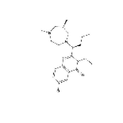 CCC[C@@H](c1nc2ccc(Cl)cc2c(=O)n1CC)N1CCN(C)C[C@@H](C)C1